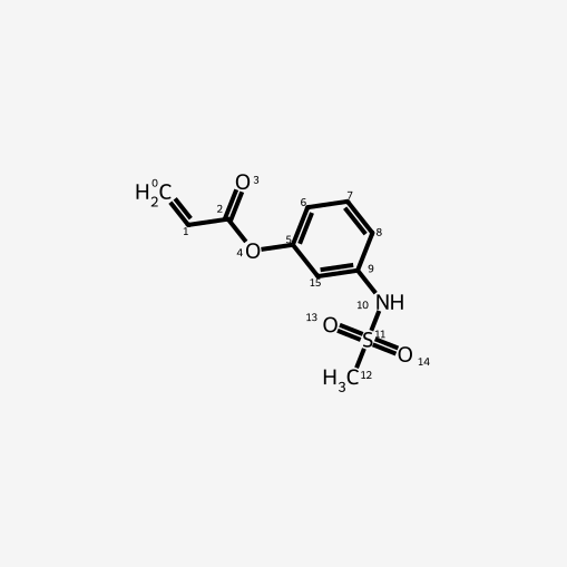 C=CC(=O)Oc1cccc(NS(C)(=O)=O)c1